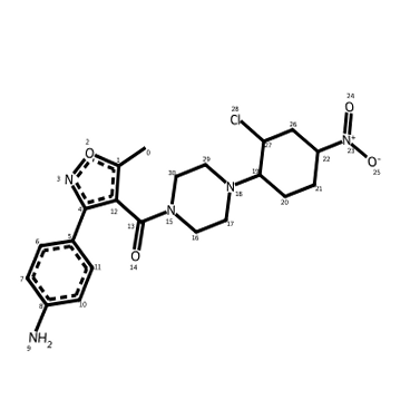 Cc1onc(-c2ccc(N)cc2)c1C(=O)N1CCN(C2CCC([N+](=O)[O-])CC2Cl)CC1